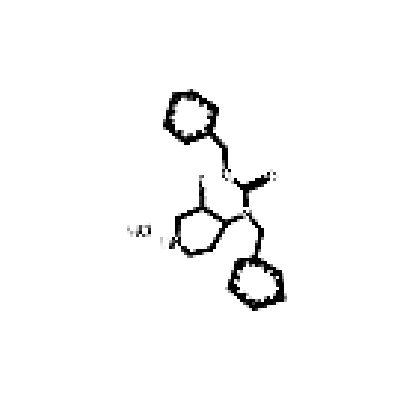 Cl.O=C(OCc1ccccc1)N(Cc1ccccc1)C1CCNCC1F